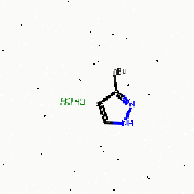 CCCCc1cc[nH]n1.Cl.Cl